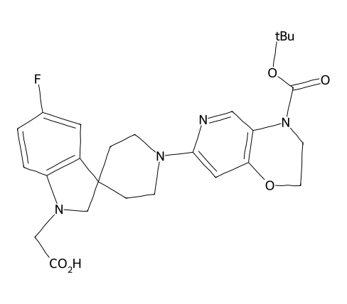 CC(C)(C)OC(=O)N1CCOc2cc(N3CCC4(CC3)CN(CC(=O)O)c3ccc(F)cc34)ncc21